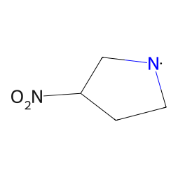 O=[N+]([O-])C1CC[N]C1